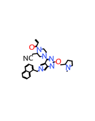 C=CC(=O)N1CCN(c2nc(OCC3CCCN3C)nc3cn(Cc4cccc5ccccc45)cc23)CC1CC#N